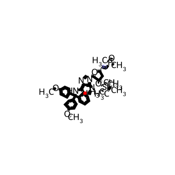 COc1ccc(C(Nc2ncnc3c2ncn3[C@@H]2O[C@H](/C=C/P(C)(C)=O)C[C@H]2O[Si](C)(C)C(C)(C)C)(c2ccccc2)c2ccc(OC)cc2)cc1